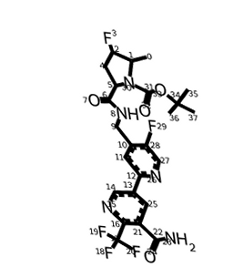 CC1C(F)CC(C(=O)NCc2cc(-c3cnc(C(F)(F)F)c(C(N)=O)c3)ncc2F)N1C(=O)OC(C)(C)C